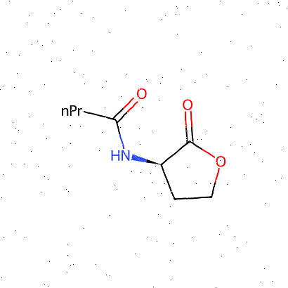 CCCC(=O)N[C@@H]1CCOC1=O